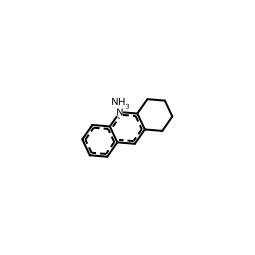 N.c1ccc2nc3c(cc2c1)CCCC3